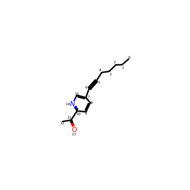 CCCCCC#Cc1ccc(C(C)=O)nc1